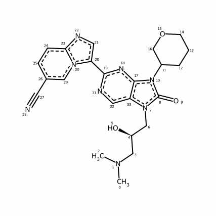 CN(C)C[C@@H](O)Cn1c(=O)n(C2CCCOC2)c2nc(-c3cnc4ccc(C#N)cn34)ncc21